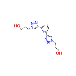 OCCCn1cc(-c2cccc(-c3cn(CCCO)nn3)n2)nn1